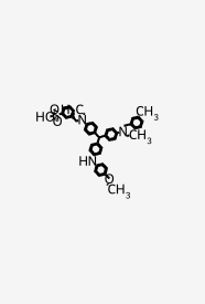 CCOc1ccc(Nc2ccc(C(c3ccc(N(CC)Cc4cccc(C)c4)cc3)c3ccc(N(CC)Cc4cccc(S(=O)(=O)O)c4)cc3)cc2)cc1